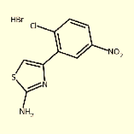 Br.Nc1nc(-c2cc([N+](=O)[O-])ccc2Cl)cs1